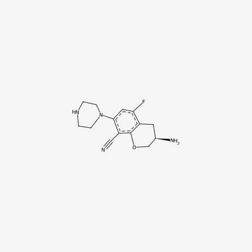 N#Cc1c(N2CCNCC2)cc(F)c2c1OC[C@H](N)C2